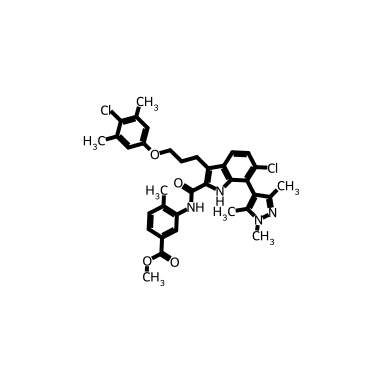 COC(=O)c1ccc(C)c(NC(=O)c2[nH]c3c(-c4c(C)nn(C)c4C)c(Cl)ccc3c2CCCOc2cc(C)c(Cl)c(C)c2)c1